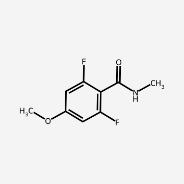 CNC(=O)c1c(F)cc(OC)cc1F